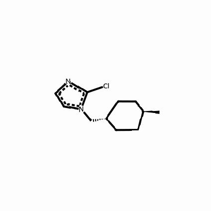 C[C@H]1CC[C@H](Cn2ccnc2Cl)CC1